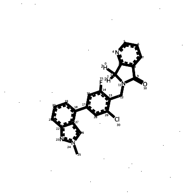 [2H]C1([2H])c2ncccc2C(=O)N1Cc1c(F)cc(-c2cccc3nn(C)cc23)cc1Cl